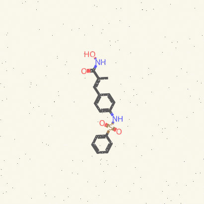 C/C(=C\c1ccc(NS(=O)(=O)c2ccccc2)cc1)C(=O)NO